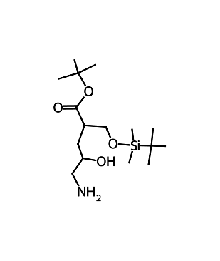 CC(C)(C)OC(=O)C(CO[Si](C)(C)C(C)(C)C)CC(O)CN